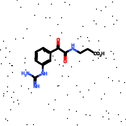 N=C(N)Nc1cccc(C(=O)C(=O)NCCC(=O)O)c1